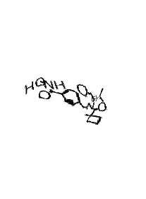 CC(C)[C@H]1COc2cc(C(=O)NO)ccc2CN1C(=O)C1(C)CCC1